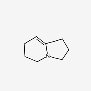 C1=C2CCCN2CCC1